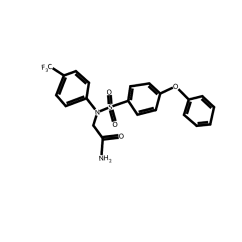 NC(=O)CN(c1ccc(C(F)(F)F)cc1)S(=O)(=O)c1ccc(Oc2ccccc2)cc1